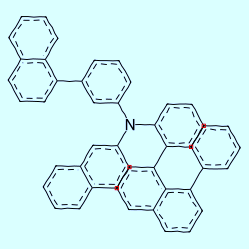 c1ccc(-c2cccc3cccc(-c4ccccc4N(c4cccc(-c5cccc6ccccc56)c4)c4ccc5ccccc5c4)c23)cc1